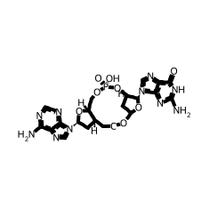 Nc1nc2c(ncn2[C@@H]2OC3C[C@H]2OP(=O)(O)OC[C@H]2O[C@@H](n4cnc5c(N)ncnc54)C[C@@H]2CCO3)c(=O)[nH]1